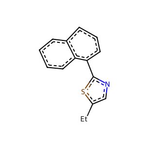 CCc1cnc(-c2cccc3ccccc23)s1